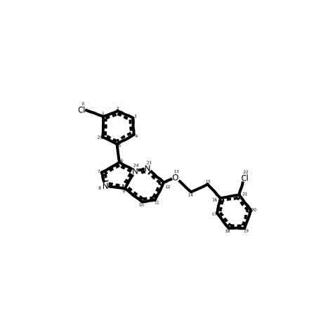 Clc1cccc(-c2cnc3ccc(OCCc4ccccc4Cl)nn23)c1